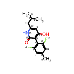 Cc1cc(F)c(-c2c(O)cc(CC(C)C)[nH]c2=O)c(F)c1